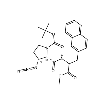 COC(=O)C(Cc1ccc2ccccc2c1)NC(=O)[C@@H]1[C@H](N=[N+]=[N-])CCN1C(=O)OC(C)(C)C